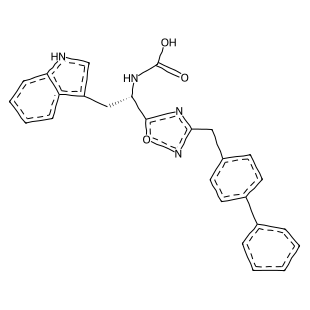 O=C(O)N[C@@H](Cc1c[nH]c2ccccc12)c1nc(Cc2ccc(-c3ccccc3)cc2)no1